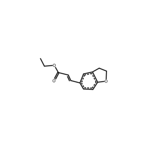 CCOC(=O)C=Cc1ccc2c(c1)CCO2